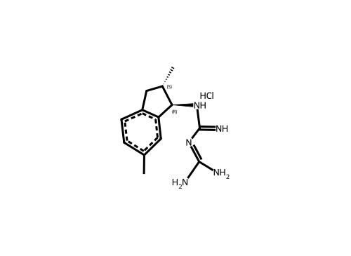 Cc1ccc2c(c1)[C@H](NC(=N)N=C(N)N)[C@@H](C)C2.Cl